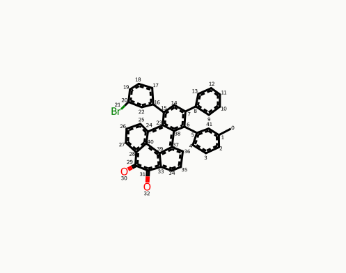 Cc1cccc(-c2c(-c3ccccc3)cc(-c3cccc(Br)c3)c3c4cccc5c(=O)c(=O)c6cccc(c23)c6c54)c1